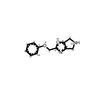 c1ccc(OCc2nc3c(o2)CNC3)cc1